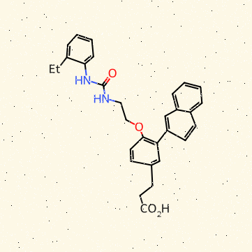 CCc1ccccc1NC(=O)NCCOc1ccc(CCC(=O)O)cc1-c1ccc2ccccc2c1